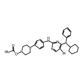 CC(C)(C)C(=O)ON1CCN(c2ccc(Nc3ncc(Br)c(N(c4ccccc4)C4CCCCC4)n3)cc2)CC1